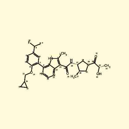 Cc1[nH]c2c(-c3cc(C(F)F)ccc3OCC3CC3)ncnc2c1C(=O)N[C@@H]1CN(C(=O)[C@H](C)O)C[C@H]1C